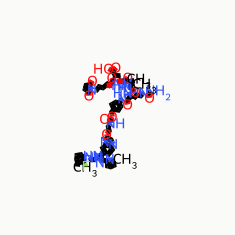 Cc1cccc(-c2nc(CNc3cccc(C)c3F)[nH]c2-c2ccc3ncc(OCCNC(=O)OCc4ccc(NC(=O)[C@H](CCCNC(N)=O)NC(=O)[C@@H](NC(=O)[C@H](CCC(=O)O)NC(=O)CCCCCN5C(=O)C=CC5=O)C(C)C)cc4)nc3c2)n1